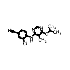 Cc1c(Nc2ccc(C#N)cc2Cl)ncnc1OC(C)C